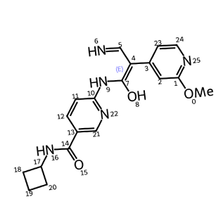 COc1cc(/C(C=N)=C(\O)Nc2ccc(C(=O)NC3CCC3)cn2)ccn1